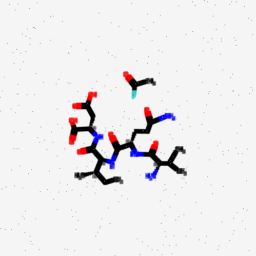 CC(=O)F.CC[C@H](C)[C@H](NC(=O)[C@H](CCC(N)=O)NC(=O)[C@@H](N)C(C)C)C(=O)N[C@@H](CC(=O)O)C(=O)O